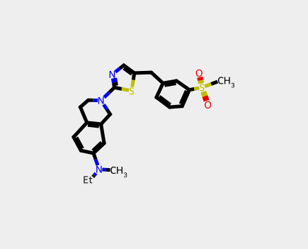 CCN(C)c1ccc2c(c1)CN(c1ncc(Cc3cccc(S(C)(=O)=O)c3)s1)CC2